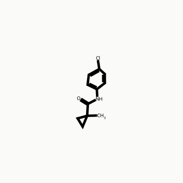 CC1(C(=O)Nc2ccc(Cl)cc2)CC1